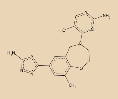 Cc1cnc(N)nc1N1CCOc2c(C)cc(-c3nnc(N)s3)cc2C1